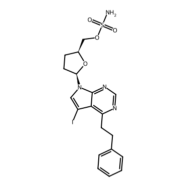 NS(=O)(=O)OC[C@@H]1CC[C@H](n2cc(I)c3c(CCc4ccccc4)ncnc32)O1